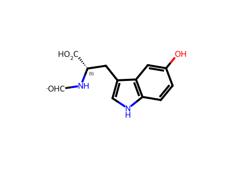 O=[C]N[C@@H](Cc1c[nH]c2ccc(O)cc12)C(=O)O